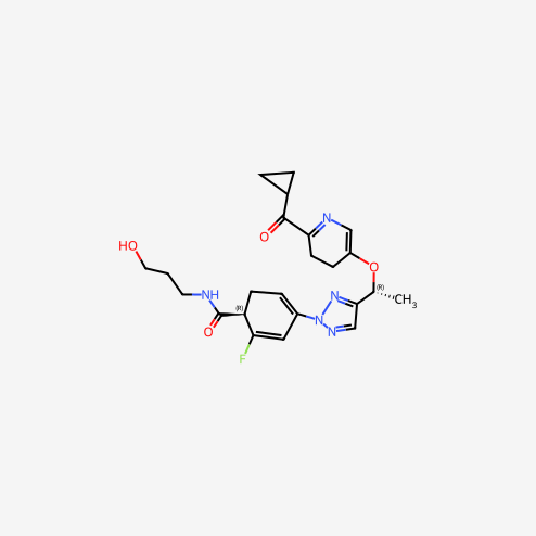 C[C@@H](OC1=CN=C(C(=O)C2CC2)CC1)c1cnn(C2=CC[C@H](C(=O)NCCCO)C(F)=C2)n1